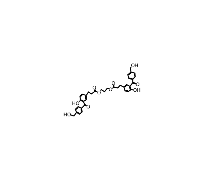 O=C(CCc1ccc(O)c(C(=O)c2ccc(CO)cc2)c1)OCCCOC(=O)CCc1ccc(O)c(C(=O)c2ccc(CO)cc2)c1